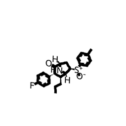 CCC[C@@H]1[C@H]2N[C@@H](C[C@H]2[S+]([O-])c2ccc(C)cc2)C(=O)[C@H]1c1ccc(F)cc1